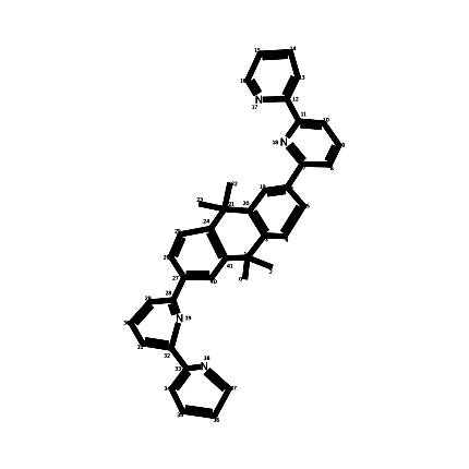 CC1(C)c2ccc(-c3cccc(-c4ccccn4)n3)cc2C(C)(C)c2ccc(-c3cccc(-c4ccccn4)n3)cc21